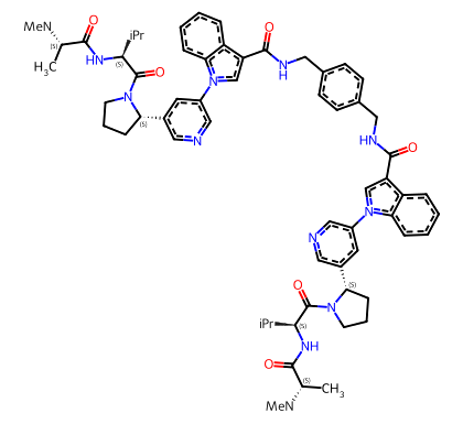 CN[C@@H](C)C(=O)N[C@H](C(=O)N1CCC[C@H]1c1cncc(-n2cc(C(=O)NCc3ccc(CNC(=O)c4cn(-c5cncc([C@@H]6CCCN6C(=O)[C@@H](NC(=O)[C@H](C)NC)C(C)C)c5)c5ccccc45)cc3)c3ccccc32)c1)C(C)C